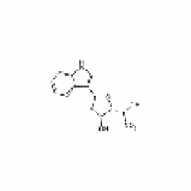 O=[N+]([O-])C(O)[C@H]1OC(c2c[nH]c3ccccc23)C[C@@H]1O